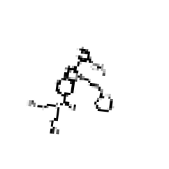 Cc1ccsc1-c1nc2ccc(C(=O)N(CCC(C)C)CCC(C)C)cc2n1CCCN1CCCCC1